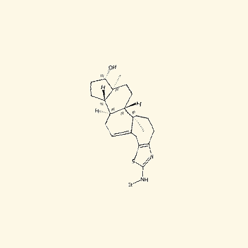 CCNc1nc2c(s1)C1=CC[C@H]3[C@@H]4CC[C@H](O)[C@@]4(C)CC[C@@H]3[C@@]1(C)CC2